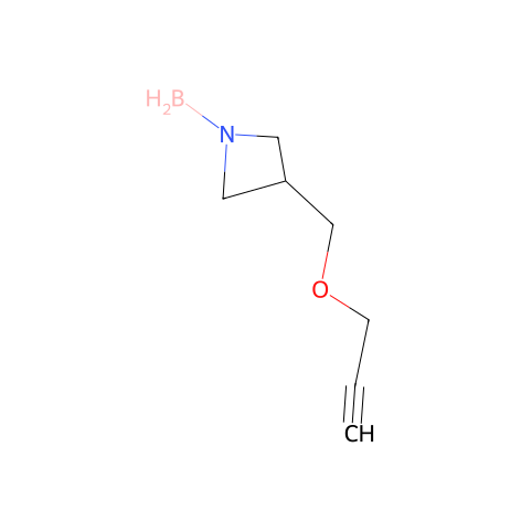 BN1CC(COCC#C)C1